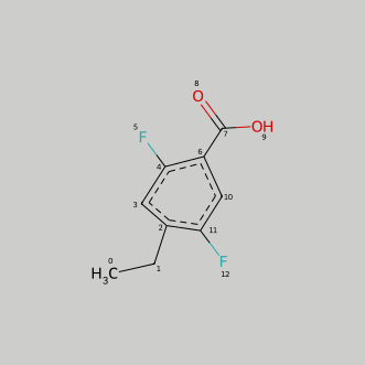 CCc1cc(F)c(C(=O)O)cc1F